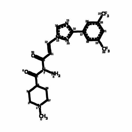 CN1CCC(C(=O)N(N)C(=O)C=Cn2cnc(-c3cc(C(F)(F)F)cc(C(F)(F)F)c3)n2)CC1